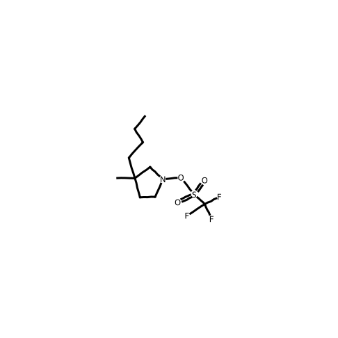 CCCCC1(C)CCN(OS(=O)(=O)C(F)(F)F)C1